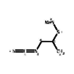 CSSC(C)CN=C=S